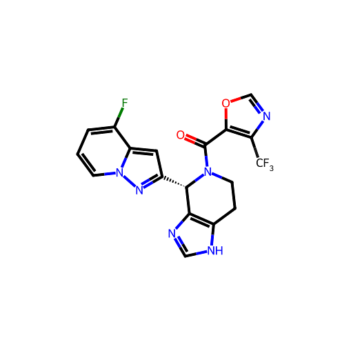 O=C(c1ocnc1C(F)(F)F)N1CCc2[nH]cnc2[C@@H]1c1cc2c(F)cccn2n1